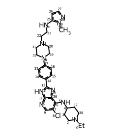 CCN1CCC(Nc2c(Cl)cnc3[nH]c(-c4ccc(N5CCN(CCNc6ccnn6C)CC5)cc4)nc23)CC1